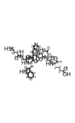 CC(=O)[C@H](CCCC(=O)O)NC(=O)CNC(=O)[C@H](CC(C)C)NC(=O)[C@H](Cc1cnc[nH]1)NC(=O)[C@H](Cc1c[nH]c2ccccc12)NC(O)CNC(=O)CCSS